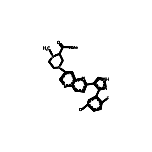 CNC(=O)C1CN(c2cnc3ccc(-c4c[nH]nc4-c4cc(Cl)ccc4F)nc3c2)CCN1C